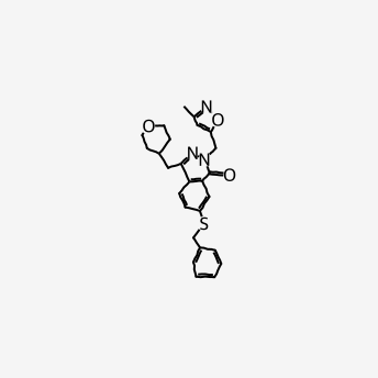 Cc1cc(Cn2nc(CC3CCOCC3)c3ccc(SCc4ccccc4)cc3c2=O)on1